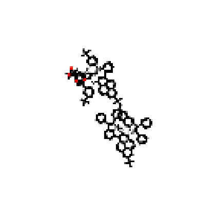 CC(C)(C)c1ccc(-c2cc(C(C)(C)C)ccc2N2c3c(sc4cc(C(C)(C)C)ccc34)B3c4c(c5ccc6cc(C(C)(C)Cc7ccc(-c8c(-c9ccccc9)c9cccc%10c9n8B8c9c-%10c%10ccc%11cc(C(C)(C)C)cc%12ccc(c9-n9c(-c%13ccccc%13)c(-c%13ccccc%13)c%13cc%14ccccc%14c8c%139)c%10c%11%12)cc7)cc7ccc(c42)c5c67)-c2ccccc2N3c2ccc(C(C)(C)C)cc2)cc1